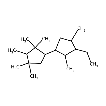 CCC1C(C)CC(C2CC(C)(C)C(C)C2(C)C)C1C